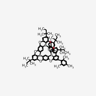 CCC(C)(C)c1cc2c3c(c1)Oc1cc4c(cc1B3c1cc3c(cc1O2)Oc1cc(-c2c(C)cc(C)cc2C)cc2c1B3c1sc3ccc(C(C)(C)CC)cc3c1O2)B1c2sc3ccc(C(C)(C)CC)cc3c2Oc2cc(C(C)(C)CC)cc(c21)O4